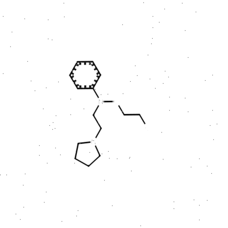 CCCON(CCN1CCCC1)c1ccccc1